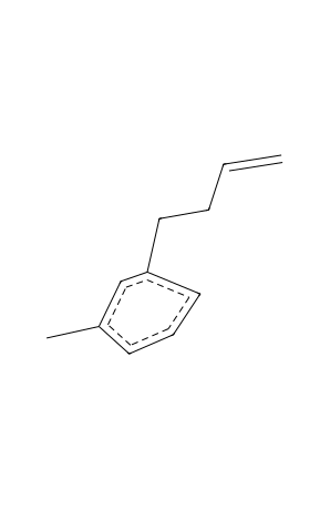 C=CCCc1cccc(C)c1